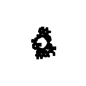 CC[C@@H]1N[C@@H]1C(=O)N(C)CC(=O)N(C)[C@H](C(=O)N[C@H]1Cc2cc(O)cc(c2)-c2ccc3c(c2)c(c(-c2cccnc2C(C)C)n3CC)CC(C)(C)COC(=O)[C@@H]2CCCN(N2)C1=O)C(C)C